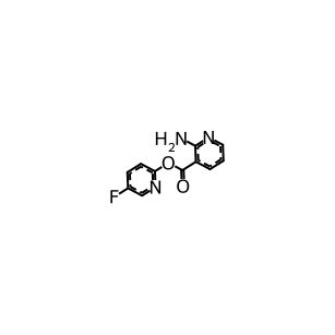 Nc1ncccc1C(=O)Oc1ccc(F)cn1